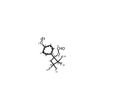 CCOc1ccc([C@@]2(OC=O)CC(F)(F)C2(F)F)cc1